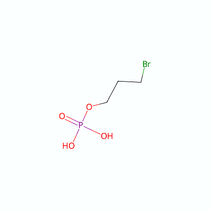 O=P(O)(O)OCCCBr